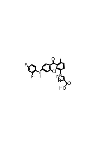 Cc1ccc(-n2cc(C(=O)O)nn2)cc1C(=O)c1ccc(Nc2ccc(F)cc2F)cc1Cl